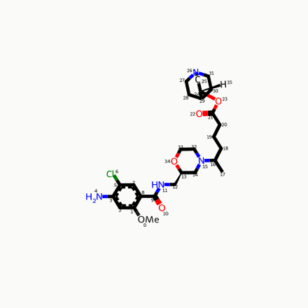 COc1cc(N)c(Cl)cc1C(=O)NC[C@@H]1CN(C(C)CCCC(=O)O[C@H]2CN3CCC2CC3)CCO1